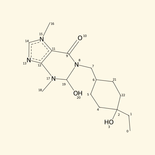 CCC1(O)CCC(CN2C(=O)c3c(ncn3C)N(C)C2O)CC1